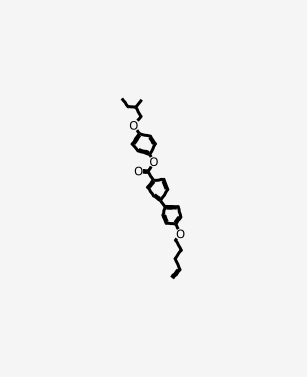 C=CCCCOc1ccc(-c2ccc(C(=O)Oc3ccc(OCC(C)CC)cc3)cc2)cc1